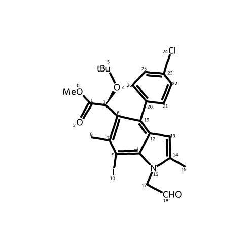 COC(=O)[C@@H](OC(C)(C)C)c1c(C)c(I)c2c(cc(C)n2CC=O)c1-c1ccc(Cl)cc1